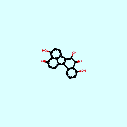 O=C1C(O)=c2c(c3ccc(=O)c4c(O)ccc2c4-3)-c2cccc(O)c21